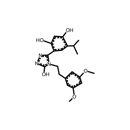 COc1cc(CCn2c(O)nnc2-c2cc(C(C)C)c(O)cc2O)cc(OC)c1